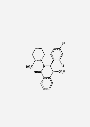 CCOC(=O)C1CCCCN1N1C(=O)c2ccccc2C(C(=O)O)[C@@H]1c1ccc(Cl)cc1Cl